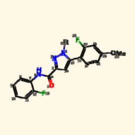 CCn1nc(C(=O)Nc2ccccc2F)cc1-c1ccc(OC)cc1F